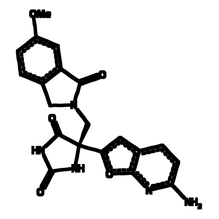 COc1ccc2c(c1)C(=O)N(C[C@@]1(c3cc4ccc(N)nc4o3)NC(=O)NC1=O)C2